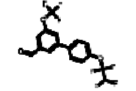 O=Cc1cc(OC(F)(F)F)cc(-c2ccc(OC(F)(F)C(F)F)cc2)c1